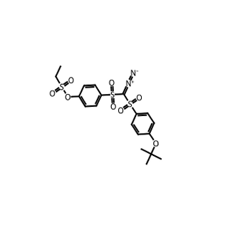 CCS(=O)(=O)Oc1ccc(S(=O)(=O)C(=[N+]=[N-])S(=O)(=O)c2ccc(OC(C)(C)C)cc2)cc1